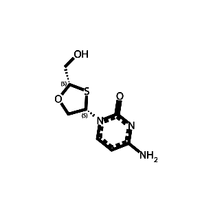 Nc1ccn([C@@H]2CO[C@H](CO)S2)c(=O)n1